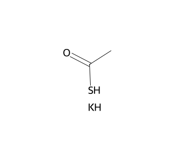 CC(=O)S.[KH]